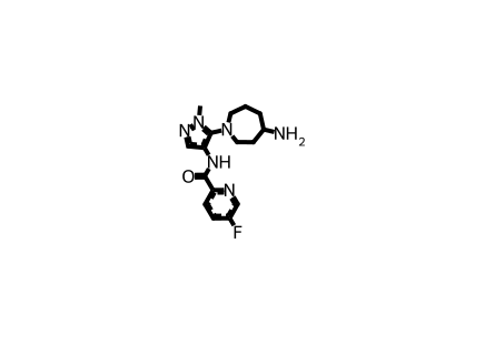 Cn1ncc(NC(=O)c2ccc(F)cn2)c1N1CCCC(N)CC1